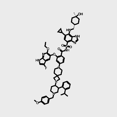 CCOc1nc2[nH]cc(F)c2cc1Oc1cc(N2CCC3(CC2)CN(C2CCN(Cc4ccc(OC)cc4)CC2c2ccccc2C(C)C)C3)ccc1C(=O)NS(=O)(=O)c1cc(C2CC2)c(NC[C@H]2CC[C@](C)(O)CC2)c2[nH]cnc12